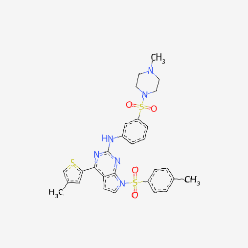 Cc1ccc(S(=O)(=O)n2ccc3c(-c4cc(C)cs4)nc(Nc4cccc(S(=O)(=O)N5CCN(C)CC5)c4)nc32)cc1